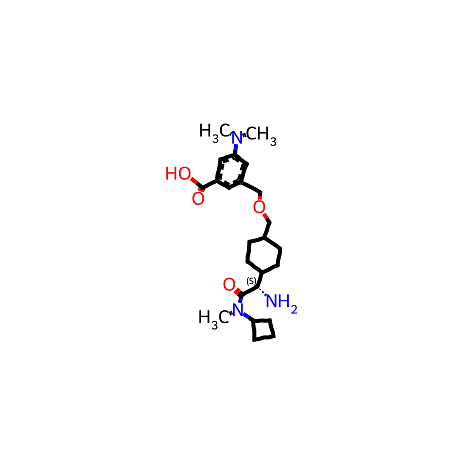 CN(C)c1cc(COCC2CCC([C@H](N)C(=O)N(C)C3CCC3)CC2)cc(C(=O)O)c1